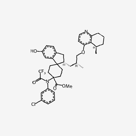 COC(=O)C1(N(C(=O)C(F)(F)F)c2cccc(Cl)c2)CCC2(CC1)c1cc(O)ccc1C[C@@H]2C[C@@H](C)COc1ccnc2c1[C@H](C)CCC2